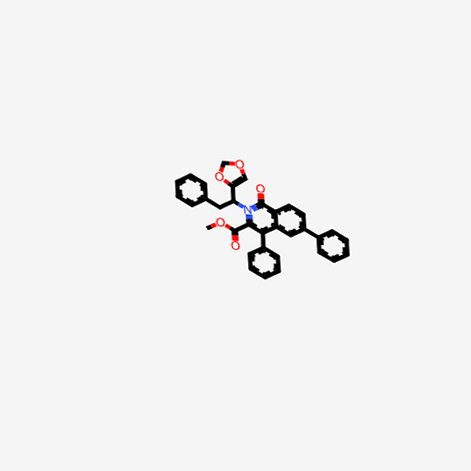 COC(=O)c1c(-c2ccccc2)c2cc(-c3ccccc3)ccc2c(=O)n1C(Cc1ccccc1)C1=COCO1